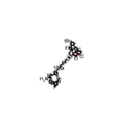 CCOc1cc(C(C)(C)C)ccc1C1=C[C@@](C)(c2ccc(Cl)cc2)[C@@H](c2ccc(Cl)cc2)N1C(=O)N1CCN(CCOCCOCCC(=O)NCCn2cc3c(n2)CN(C)C(=O)c2ccc(F)cc2[C@H]2CCCN2c2cc-3cnc2N)CC1